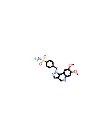 COc1cc2ncc3cnn([C@@H](C)c4ccc(S(N)(=O)=O)cc4)c3c2cc1OC